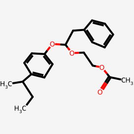 CCC(C)c1ccc(OC(Cc2ccccc2)OCCOC(C)=O)cc1